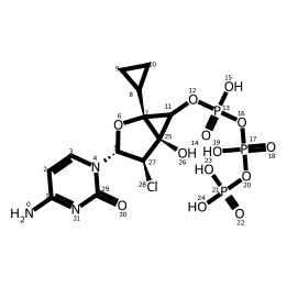 Nc1ccn([C@@H]2O[C@]3(C4CC4)C(OP(=O)(O)OP(=O)(O)OP(=O)(O)O)[C@]3(O)[C@H]2Cl)c(=O)n1